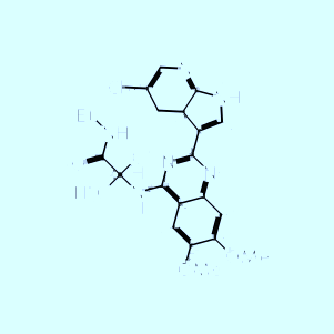 CCNC(=O)C(C)(C)Nc1nc(C2=CNC3=NC=C(Cl)CC23)nc2cc(OC)c(OC)cc12